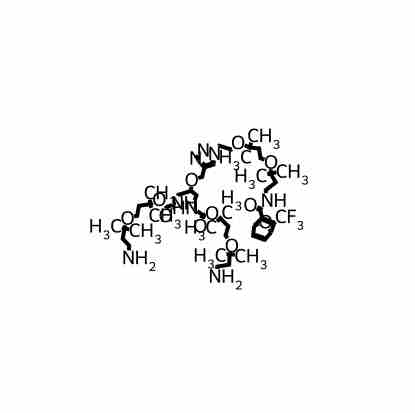 CC(C)(CCN)OCCC(C)(C)OC(=O)NCC(CNC(=O)OC(C)(C)CCOC(C)(C)CCN)OCc1cn(CCOC(C)(C)CCOC(C)(C)CCNC(=O)C2=C(C(F)(F)F)C3C=CC2O3)nn1